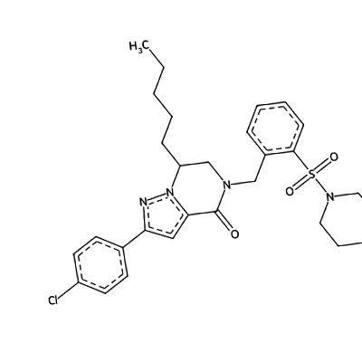 CCCCCC1CN(Cc2ccccc2S(=O)(=O)N2CCOCC2)C(=O)c2cc(-c3ccc(Cl)cc3)nn21